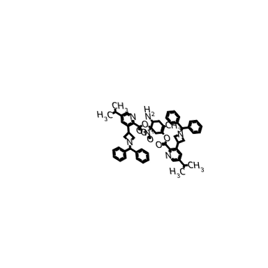 CC1=C(OC(=O)c2ncc(C(C)C)cc2C2CN(C(c3ccccc3)c3ccccc3)C2)[CH]C(OC(=O)c2ncc(C(C)C)cc2C2CN(C(c3ccccc3)c3ccccc3)C2)([N+](=O)[O-])C(N)C1